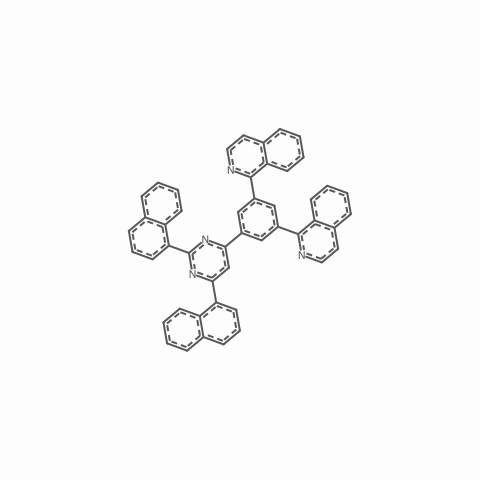 c1ccc2c(-c3cc(-c4cc(-c5nccc6ccccc56)cc(-c5nccc6ccccc56)c4)nc(-c4cccc5ccccc45)n3)cccc2c1